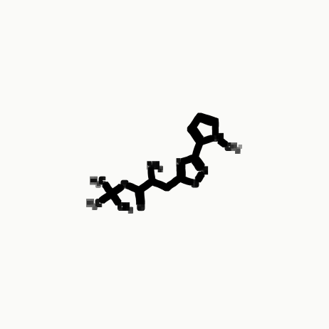 [CH2][SH]1C=CC=C1c1noc(CC(N)C(=O)OC(C)(C)C)n1